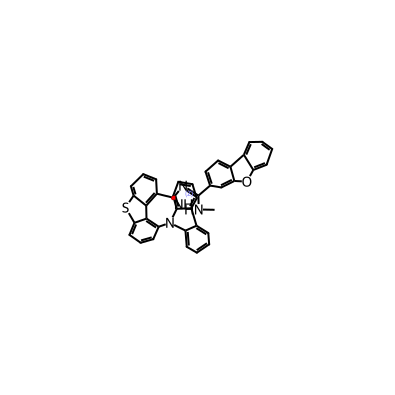 CN/C(=N\C(=N)c1cccc2sc3cccc(-n4c5ccccc5c5ccccc54)c3c12)c1ccc2c(c1)oc1ccccc12